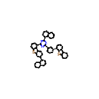 c1cc(-c2nc(-c3cccc4ccccc34)nc(-c3cccc4sc5cc(-c6cccc7ccccc67)ccc5c34)n2)cc(-c2cccc3c2sc2ccccc23)c1